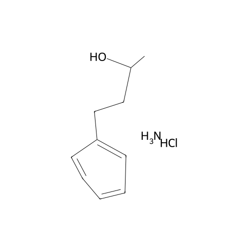 CC(O)CCc1ccccc1.Cl.N